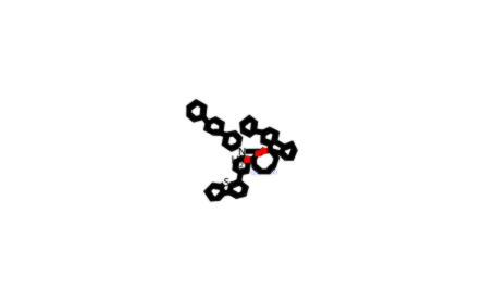 C=C1/C=C\C=C/CC2(c3ccccc3-c3ccc(-c4ccccc4)cc32)c2cccc(N(c3ccc(-c4ccc(-c5ccccc5)cc4)cc3)c3ccc(-c4cccc5c4sc4ccccc45)cc3)c21